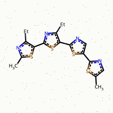 CCc1nc(C)sc1-c1nc(CC)c(-c2ncc(-c3ncc(C)s3)s2)s1